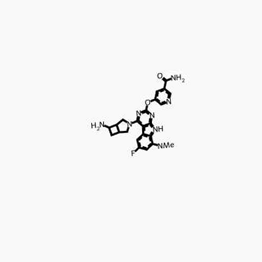 CNc1cc(F)cc2c1[nH]c1nc(Oc3cncc(C(N)=O)c3)nc(N3CC4CC(N)C4C3)c12